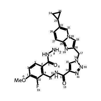 COc1ccc(C(=O)NN)c(CNC(=O)c2cn(Cc3cn4cc(C5CC5)ccc4n3)nn2)c1F